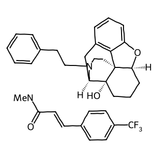 CNC(=O)/C=C/c1ccc(C(F)(F)F)cc1.O[C@@]12CCC[C@@H]3Oc4cccc5c4[C@@]31CCN(CCc1ccccc1)[C@@H]2C5